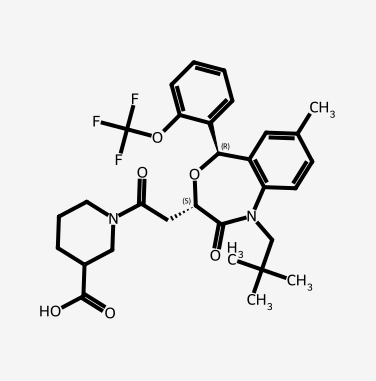 Cc1ccc2c(c1)[C@H](c1ccccc1OC(F)(F)F)O[C@@H](CC(=O)N1CCCC(C(=O)O)C1)C(=O)N2CC(C)(C)C